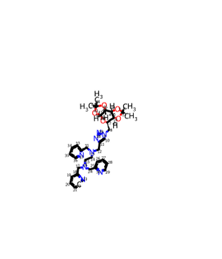 CC1(C)O[C@H]2[C@@H](O1)[C@@H](Cn1cc(CN(CCN(Cc3ccccn3)Cc3ccccn3)Cc3ccccn3)nn1)O[C@@H]1OC(C)(C)O[C@@H]12